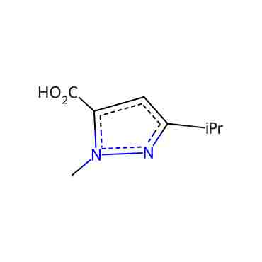 CC(C)c1cc(C(=O)O)n(C)n1